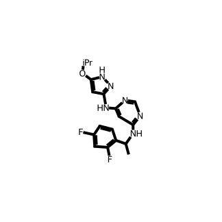 CC(C)Oc1cc(Nc2cc(NC(C)c3ccc(F)cc3F)ncn2)n[nH]1